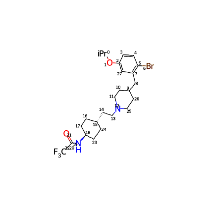 CC(C)Oc1ccc(Br)c(CC2CCN(CC[C@H]3CC[C@H](NC(=O)C(F)(F)F)CC3)CC2)c1